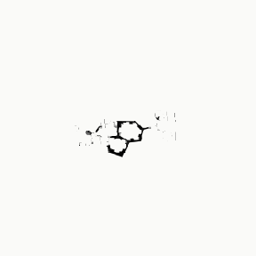 CC(C)[Si](C(C)C)(C(C)C)n1ccc2cc(B(O)O)ccc21